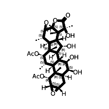 CC(=O)O[C@H]1[C@@H](C)[C@H]2[C@@H]([C@@H](O)[C@@H](O)[C@H]3C[C@@H]4O[C@@H]4[C@H](OC(C)=O)[C@]23C)[C@@H]2[C@@H](O)[C@@H]3[C@H]([C@H](C)[C@@H]4O[C@@]45OC(=O)[C@@](C)(O)[C@]35C)[C@]21C